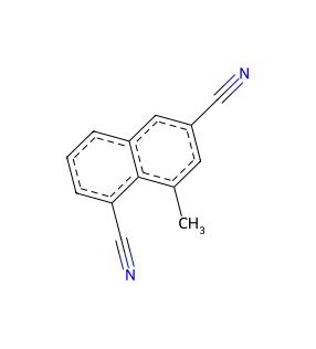 Cc1cc(C#N)cc2cccc(C#N)c12